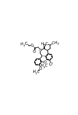 CCOC(=O)CN1CC(c2cccc(OC)c2OC)c2cc(Cl)ccc2C(CC(C)C)C1=O